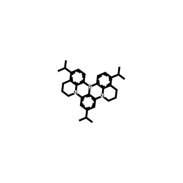 CC(C)c1cc2c3c(c1)N1CCCc4c(C(C)C)ccc(c41)B3c1ccc(C(C)C)c3c1N2CCC3